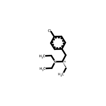 CC[C@@H](Cc1ccc(Cl)cc1)N(CC)CC